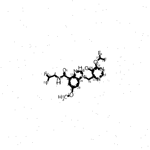 COc1cc(C(=O)NCC(F)F)c2ncn(Cc3ncnc(OC(F)F)c3C)c2c1